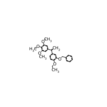 C=C(c1ccc(OCC)c(OCc2ccccc2)c1)c1cc(OC)c(OC)c(OC)c1